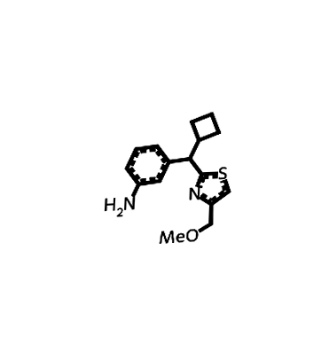 COCc1csc(C(c2cccc(N)c2)C2CCC2)n1